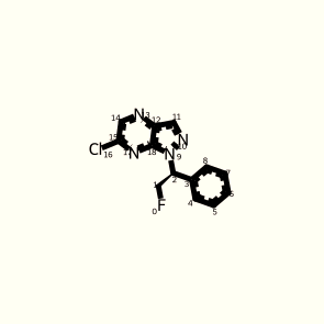 FC[C@H](c1ccccc1)n1ncc2ncc(Cl)nc21